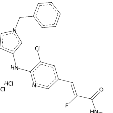 Cl.Cl.O=C(NO)C(F)=Cc1cnc(Nc2ccn(Cc3ccccc3)c2)c(Cl)c1